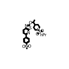 CCCS(=O)(=O)N1CCC(C(C)Oc2nc3ccc(-c4ccc(S(C)(=O)=O)cc4)nc3s2)CC1